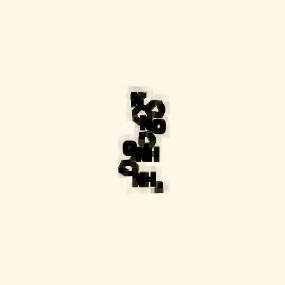 CN(C)C1CCCN(C(=O)c2ccc(NC(=O)c3cccc(N)c3)cc2)c2ccccc21